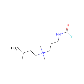 CC(CC[N+](C)(C)CCCNC(=O)F)S(=O)(=O)O